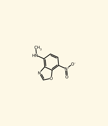 CNc1ccc([N+](=O)[O-])c2ocnc12